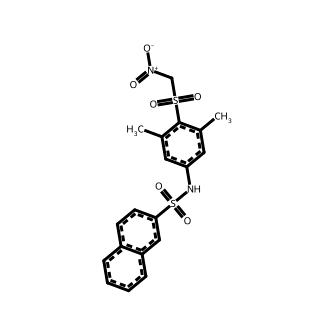 Cc1cc(NS(=O)(=O)c2ccc3ccccc3c2)cc(C)c1S(=O)(=O)C[N+](=O)[O-]